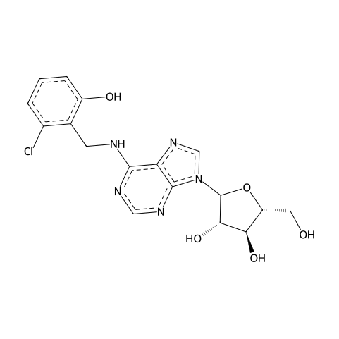 OC[C@H]1OC(n2cnc3c(NCc4c(O)cccc4Cl)ncnc32)[C@@H](O)[C@@H]1O